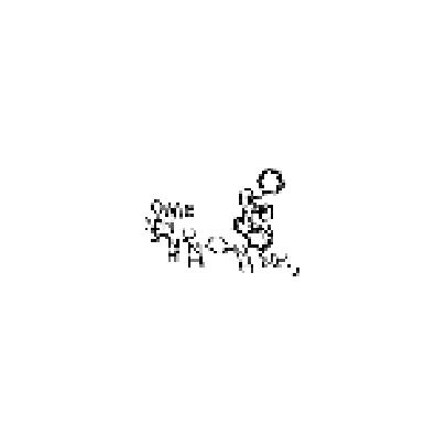 COc1nsc(NC(=O)N[C@H]2CC[C@@H](Nc3c(N)cnc4c3ccn4S(=O)(=O)c3ccccc3)C2)n1